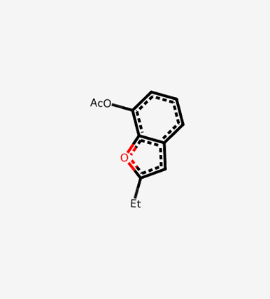 CCc1cc2cccc(OC(C)=O)c2o1